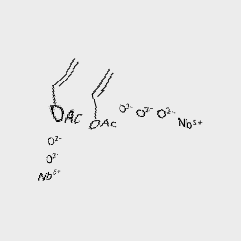 C=COC(C)=O.C=COC(C)=O.[Nb+5].[Nb+5].[O-2].[O-2].[O-2].[O-2].[O-2]